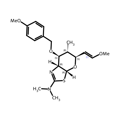 CO/C=C/[C@H]1O[C@@H]2SC(N(C)C)=N[C@@H]2[C@@H](OCc2ccc(OC)cc2)[C@@H]1C